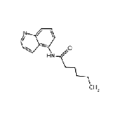 CCCCCC(=O)Nc1cccc2ncccc12